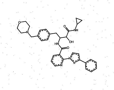 O=C(NC(Cc1ccc(CN2CCOCC2)cc1)C(O)C(=O)NC1CC1)c1cccnc1-n1ccc(-c2ccccc2)n1